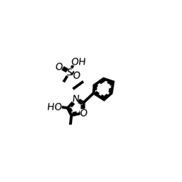 CC.CS(=O)(=O)O.Cc1oc(-c2ccccc2)nc1O